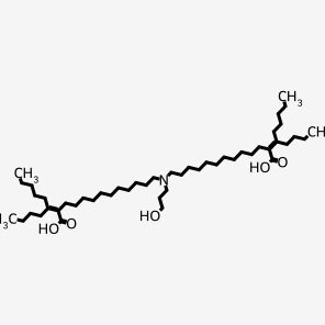 CCCCC/C(CCCC)=C(\CCCCCCCCCCCN(CCCO)CCCCCCCCCCC/C(C(=O)O)=C(/CCCC)CCCCC)C(=O)O